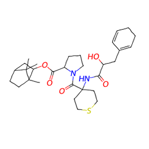 CC1(C)C2CCC1(C)C(OC(=O)C1CCCN1C(=O)C1(NC(=O)C(O)CC3=CCCC=C3)CCSCC1)C2